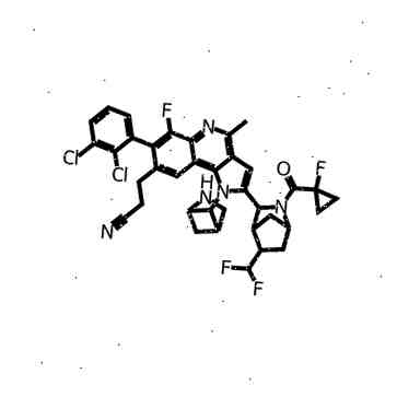 Cc1nc2c(F)c(-c3cccc(Cl)c3Cl)c(CCC#N)cc2c2c1cc(C1C3CC(CC3C(F)F)N1C(=O)C1(F)CC1)n2C1C2CNC1C2